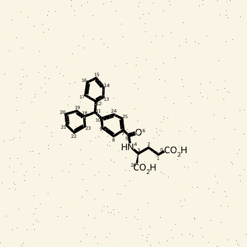 O=C(O)CC[C@H](NC(=O)c1ccc(C(c2ccccc2)c2ccccc2)cc1)C(=O)O